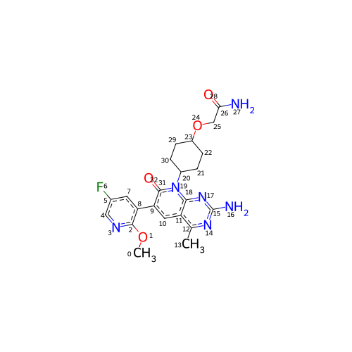 COc1ncc(F)cc1-c1cc2c(C)nc(N)nc2n(C2CCC(OCC(N)=O)CC2)c1=O